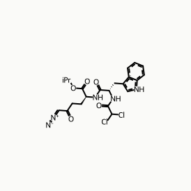 CC(C)OC(=O)[C@H](CCC(=O)C=[N+]=[N-])NC(=O)[C@H](Cc1c[nH]c2ccccc12)NC(=O)C(Cl)Cl